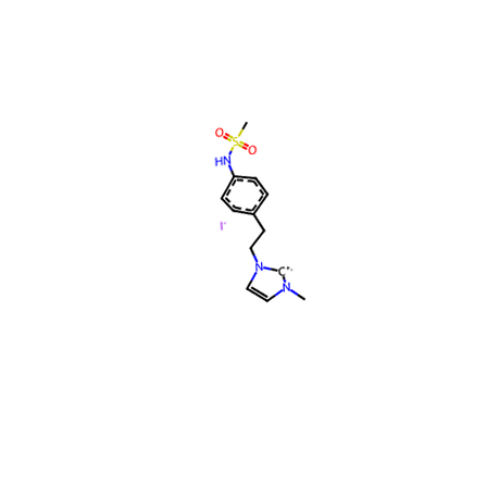 CN1[C+]N(CCc2ccc(NS(C)(=O)=O)cc2)C=C1.[I-]